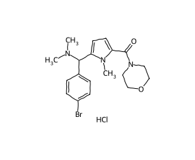 CN(C)C(c1ccc(Br)cc1)c1ccc(C(=O)N2CCOCC2)n1C.Cl